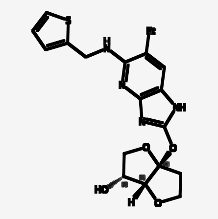 CCc1cc2[nH]c(O[C@@]34CCO[C@@H]3[C@H](O)CO4)nc2nc1NCc1cccs1